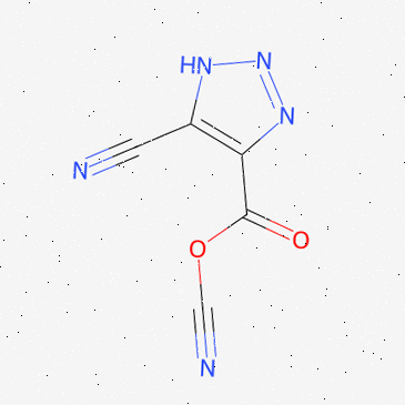 N#COC(=O)c1nn[nH]c1C#N